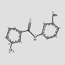 CC(C)(C)c1cccc(NC(=O)c2cccc(C(F)(F)F)c2)c1